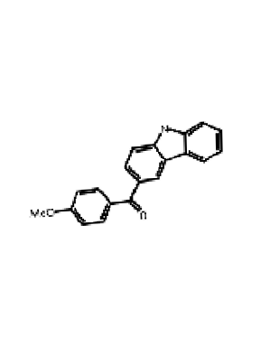 COc1ccc(C(=O)c2ccc3c(c2)-c2ccccc2[N]3)cc1